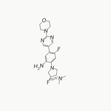 CN(C)[C@H]1CN(c2cc(F)c(-c3cnc(N4CCOCC4)nc3)cc2N)C[C@@H]1F